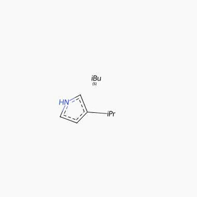 CC[C@H](C)c1[nH]ccc1C(C)C